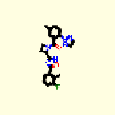 Cc1ccc(-n2nccn2)c(C(=O)N2CCC2c2noc(-c3cccc(F)c3C)n2)c1